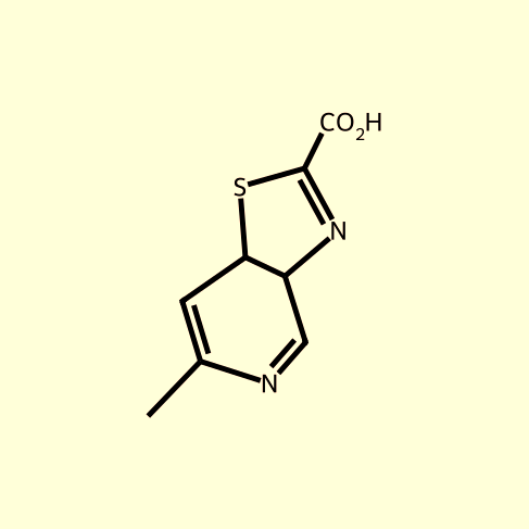 CC1=CC2SC(C(=O)O)=NC2C=N1